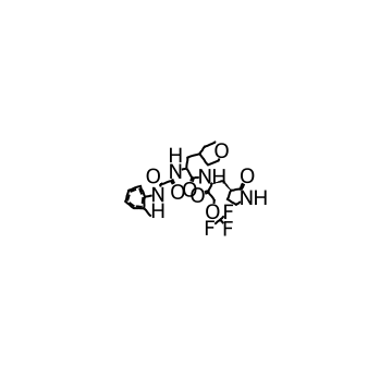 Cc1ccccc1NC(=O)C(=O)NC(CC1CCOCC1)C(=O)N[C@@H](C[C@@H]1CCNC1=O)C(=O)COC(F)(F)F